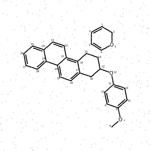 C1=CCOC=C1.COc1ccc(OC2CCc3c(ccc4c3ccc3ccccc34)C2)cc1